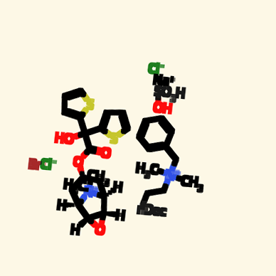 CCCCCCCCCCCC[N+](C)(C)Cc1ccccc1.C[N+]1(C)[C@@H]2C[C@@H](OC(=O)C(O)(c3cccs3)c3cccs3)C[C@H]1[C@@H]1O[C@@H]12.O=S(=O)(O)O.[Br-].[Cl-].[Cl-].[Na+]